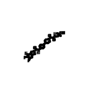 CC(C)(O)CNC(=O)C(=O)N1CC=C(c2ccc(NC(=O)N3Cc4cc(F)c(F)c(F)c4C3)cc2)CC1